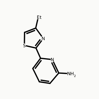 CCc1csc(-c2cccc(N)n2)n1